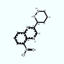 O=[N+]([O-])c1cccc2nc(C3CCCSS3)cnc12